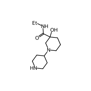 CCNC(=O)C1(O)CCCN(C2CCNCC2)C1